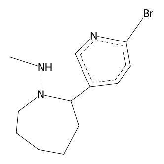 CNN1CCCCCC1c1ccc(Br)nc1